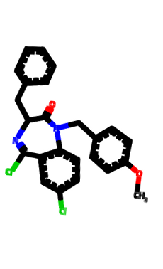 COc1ccc(CN2C(=O)C(Cc3ccccc3)N=C(Cl)c3cc(Cl)ccc32)cc1